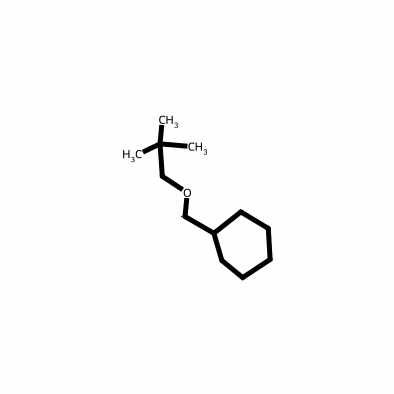 CC(C)(C)CO[CH]C1CCCCC1